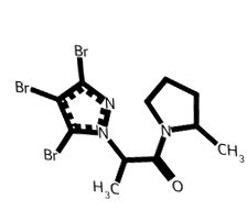 CC1CCCN1C(=O)C(C)n1nc(Br)c(Br)c1Br